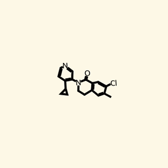 Cc1cc2c(cc1Cl)C(=O)N(c1cnccc1C1CC1)CC2